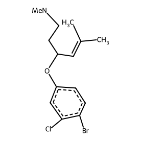 CNCCC(C=C(C)C)Oc1ccc(Br)c(Cl)c1